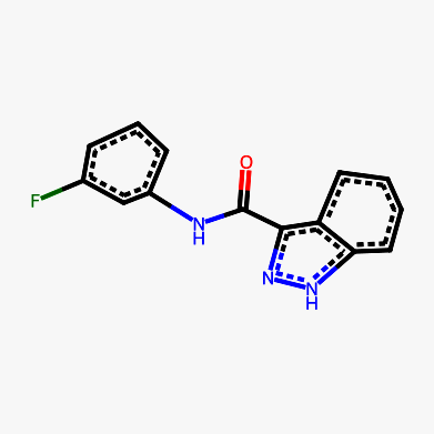 O=C(Nc1cccc(F)c1)c1n[nH]c2ccccc12